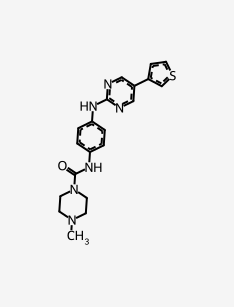 CN1CCN(C(=O)Nc2ccc(Nc3ncc(-c4ccsc4)cn3)cc2)CC1